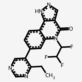 CCc1ncncc1-c1ccc2c3[nH]ncc3c(=O)n(C(F)C(F)F)c2c1